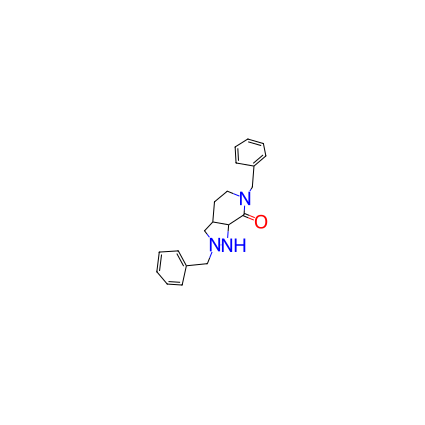 O=C1C2NN(Cc3ccccc3)CC2CCN1Cc1ccccc1